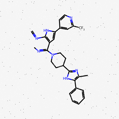 C=Nc1[nH]c(-c2ccnc(C(F)(F)F)c2)cc1/C(=N\C)N1CCC(c2nc(C)c(-c3ccccc3)[nH]2)CC1